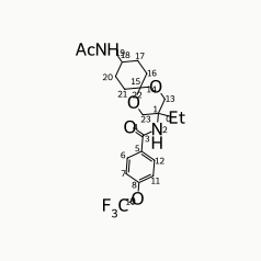 CCC1(NC(=O)c2ccc(OC(F)(F)F)cc2)COC2(CCC(NC(C)=O)CC2)OC1